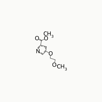 COCCOc1cncc(C(=O)OC)c1